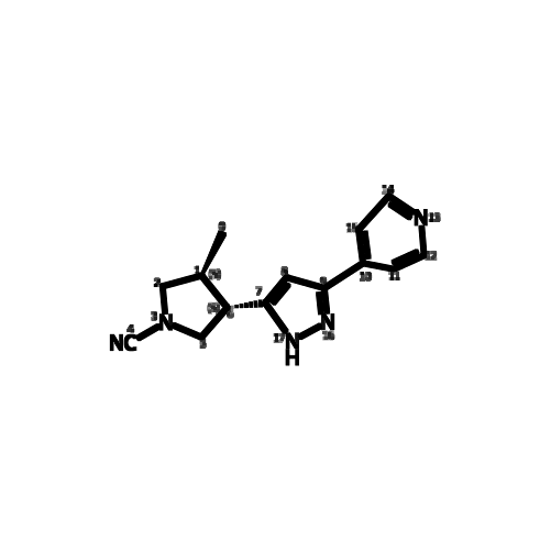 C[C@@H]1CN(C#N)C[C@H]1c1cc(-c2ccncc2)n[nH]1